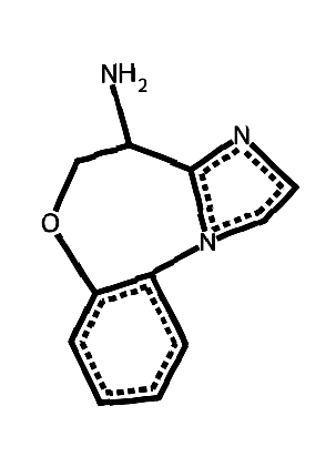 NC1COc2ccccc2-n2ccnc21